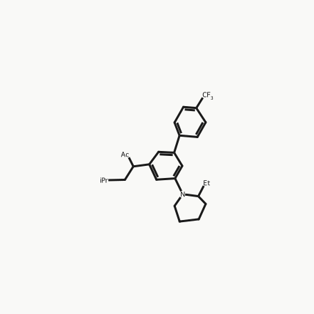 CCC1CCCCN1c1cc(-c2ccc(C(F)(F)F)cc2)cc(C(CC(C)C)C(C)=O)c1